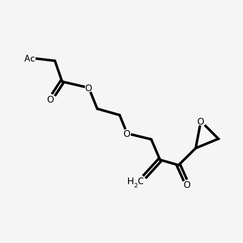 C=C(COCCOC(=O)CC(C)=O)C(=O)C1CO1